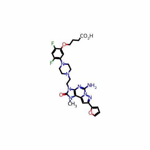 Cn1c(=O)n(CCN2CCN(c3cc(OCCCC(=O)O)c(F)cc3F)CC2)c2nc(N)n3nc(-c4ccco4)cc3c21